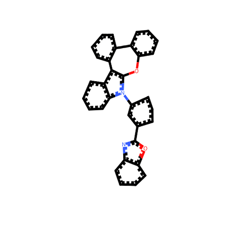 c1cc(-c2nc3ccccc3o2)cc(-n2c3c(c4ccccc42)-c2ccccc2-c2ccccc2O3)c1